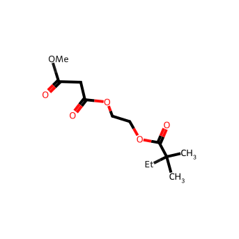 CCC(C)(C)C(=O)OCCOC(=O)CC(=O)OC